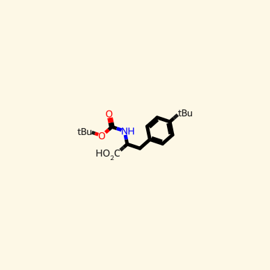 CC(C)(C)OC(=O)NC(Cc1ccc(C(C)(C)C)cc1)C(=O)O